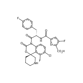 O=C(N[C@@H](Cc1ccc(F)cc1)C(=O)N1C(=O)O[C@]2(CCCNC2)c2c1ccc(Cl)c2F)c1cc(F)c(C(=O)O)s1